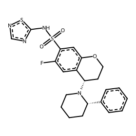 O=S(=O)(Nc1ncns1)c1cc2c(cc1F)[C@@H](N1CCCC[C@H]1c1ccccc1)CCO2